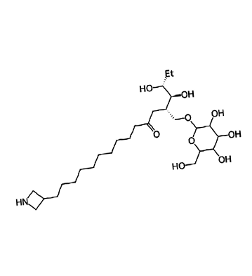 CC[C@@H](O)[C@@H](O)[C@H](COC1OC(CO)C(O)C(O)C1O)CC(=O)CCCCCCCCCCC1CNC1